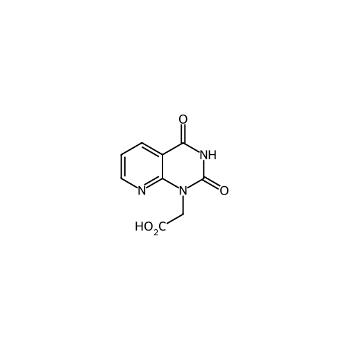 O=C(O)Cn1c(=O)[nH]c(=O)c2cccnc21